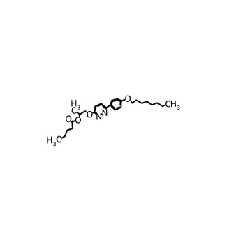 CCCCCCCCOc1ccc(-c2ccc(OCC(C)OC(=O)CCCC)nn2)cc1